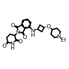 CCN1CCC(O[C@H]2C[C@H](Nc3cccc4c3C(=O)N(C3CCC(=O)NC3=O)C4=O)C2)CC1